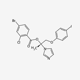 C[C@](COc1ccc(I)cc1)(OC(=O)c1ccc(Br)cc1Cl)n1ccnc1